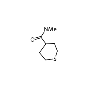 CNC(=O)C1CCSCC1